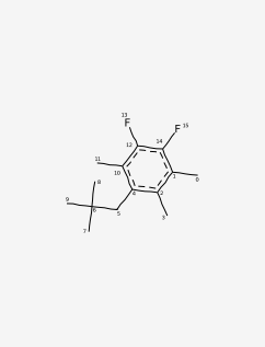 Cc1c(C)c(CC(C)(C)C)c(C)c(F)c1F